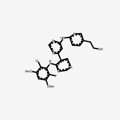 COc1cc(OC)c(Cl)c(Nc2ncncc2-c2cc(Nc3ccc(CCO)cn3)ncn2)c1F